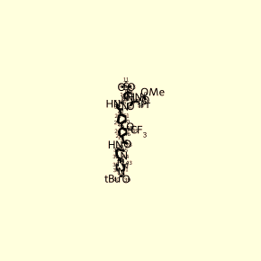 COC(=O)N[C@H](C(=O)N1C[C@@H](S(C)(=O)=O)C[C@H]1c1nc(-c2ccc(-c3ccc(C(=O)Nc4ccc(N5CCN(C(=O)C(C)(C)C)C[C@H]5C)nc4)cc3OC(F)(F)F)cc2)c[nH]1)C(C)C